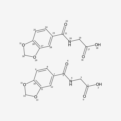 O=C(O)CNC(=O)c1ccc2c(c1)OCO2.O=C(O)CNC(=O)c1ccc2c(c1)OCO2